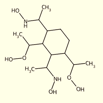 CC(NO)C1CCC(C(C)OO)C(C(C)NO)C1C(C)OO